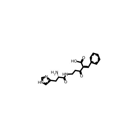 N[C@@H](Cc1c[nH]cn1)C(=O)NCCC(=O)C(=Cc1ccccc1)C(=O)O